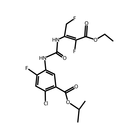 CCOC(=O)C(F)=C(CF)NC(=O)Nc1cc(C(=O)OC(C)C)c(Cl)cc1F